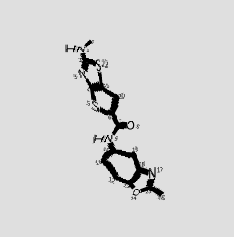 CNc1nc2sc(C(=O)NC3C=Cc4oc(C)nc4C3)cc2s1